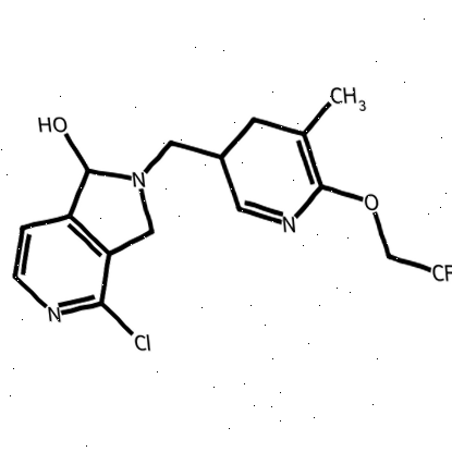 CC1=C(OCC(F)(F)F)N=CC(CN2Cc3c(ccnc3Cl)C2O)C1